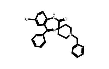 O=C1Nc2ccc(Cl)cc2C(c2ccccc2)=NC12CCN(Cc1ccccc1)CC2